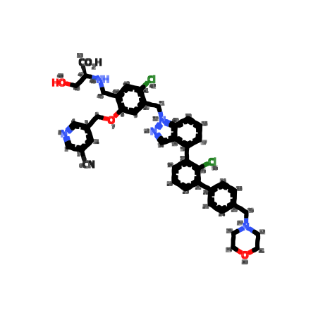 N#Cc1cncc(COc2cc(Cn3ncc4c(-c5cccc(-c6ccc(CN7CCOCC7)cc6)c5Cl)cccc43)c(Cl)cc2CN[C@@H](CO)C(=O)O)c1